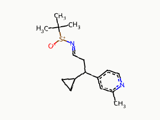 Cc1cc(C(CC=N[S+]([O-])C(C)(C)C)C2CC2)ccn1